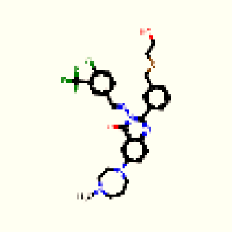 CN1CCCN(c2ccc3nc(-c4cccc(CSCCO)c4)n(N=Cc4ccc(Cl)c(C(F)(F)F)c4)c(=O)c3c2)CC1